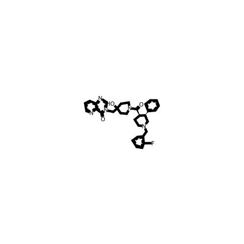 O=C([C@@H]1CCN(Cc2ccccc2F)C[C@H]1c1ccccc1)N1CCC(O)(Cn2cnc3cccnc3c2=O)CC1